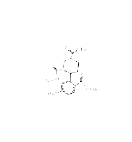 COC(=O)c1ccc(OC)nc1C1CCC(C(=O)OC)CN1C(=O)OC(C)(C)C